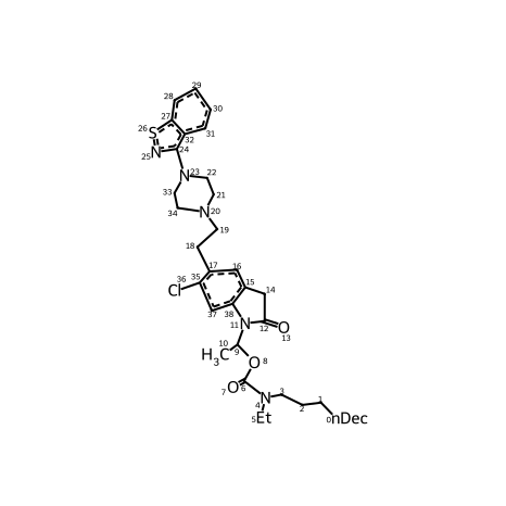 CCCCCCCCCCCCCN(CC)C(=O)OC(C)N1C(=O)Cc2cc(CCN3CCN(c4nsc5ccccc45)CC3)c(Cl)cc21